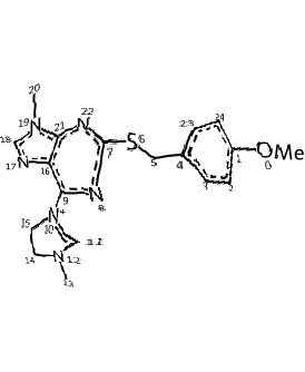 COc1ccc(CSc2nc([N+]3=CN(C)CC3)c3ncn(C)c3n2)cc1